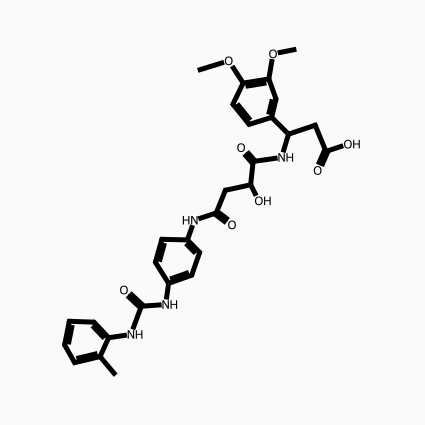 COc1ccc(C(CC(=O)O)NC(=O)C(O)CC(=O)Nc2ccc(NC(=O)Nc3ccccc3C)cc2)cc1OC